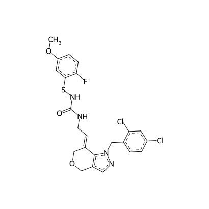 COc1ccc(F)c(SNC(=O)NC/C=C2\COCc3cnn(Cc4ccc(Cl)cc4Cl)c32)c1